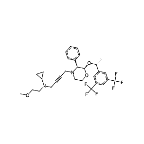 COCCN(CC#CCN1CCO[C@H](O[C@H](C)c2cc(C(F)(F)F)cc(C(F)(F)F)c2)[C@@H]1c1ccccc1)C1CC1